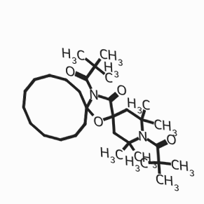 CC(C)(C)C(=O)N1C(C)(C)CC2(CC1(C)C)OC1(CCCCCCCCCCC1)N(C(=O)C(C)(C)C)C2=O